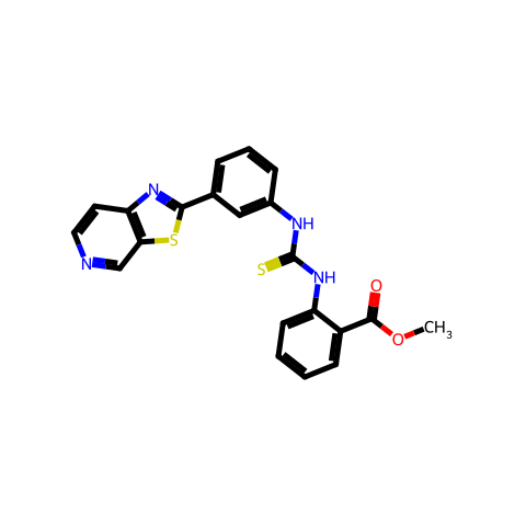 COC(=O)c1ccccc1NC(=S)Nc1cccc(-c2nc3ccncc3s2)c1